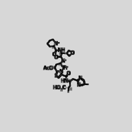 CC(=O)O[C@H](C[C@H](C(C)C)N(C)C(=O)[C@@H](NC(=O)[C@H]1CCCCN1C)C1COC1)c1nc(C(=O)N[C@@H](Cc2ncc(C)cn2)C[C@H](C)C(=O)O)cs1